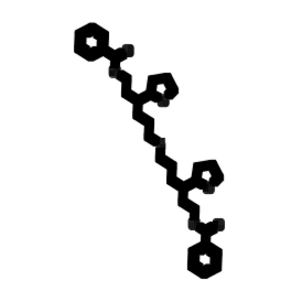 O=C(OCCC(CCCSCCCC(CCOC(=O)c1ccccc1)C1CCCO1)C1CCCO1)c1ccccc1